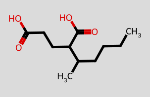 CCCCC(C)C(CCC(=O)O)C(=O)O